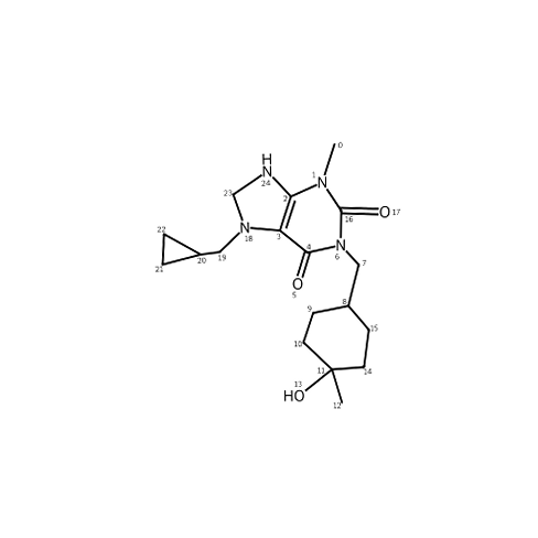 Cn1c2c(c(=O)n(CC3CCC(C)(O)CC3)c1=O)N(CC1CC1)CN2